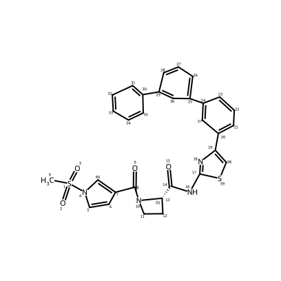 CS(=O)(=O)n1ccc(C(=O)N2CC[C@H]2C(=O)Nc2nc(-c3cccc(-c4cccc(-c5ccccc5)c4)c3)cs2)c1